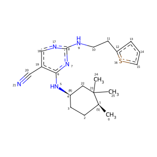 C[C@H]1CC[C@@H](Nc2nc(NCCc3cccs3)ncc2C#N)CC1(C)C